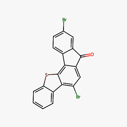 O=C1c2cc(Br)ccc2-c2c1cc(Br)c1c2sc2ccccc21